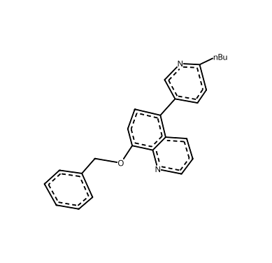 CCCCc1ccc(-c2ccc(OCc3ccccc3)c3ncccc23)cn1